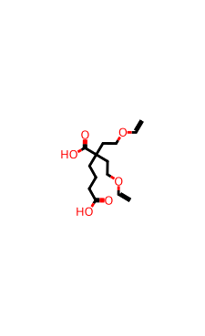 C=COCCC(CCCC(=O)O)(CCOC=C)C(=O)O